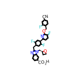 N#Cc1ccc(COc2nc(-c3cc(F)c(Cc4nc5ccc(C(=O)O)cc5n4C[C@@H]4CCO4)cc3F)ccc2F)c(F)c1